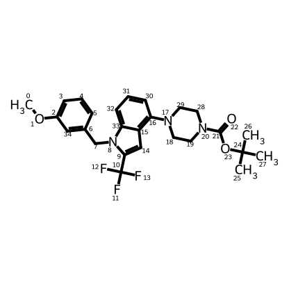 COc1cccc(Cn2c(C(F)(F)F)cc3c(N4CCN(C(=O)OC(C)(C)C)CC4)cccc32)c1